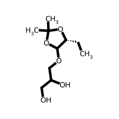 CC[C@H]1OC(C)(C)OC1OCC(O)CO